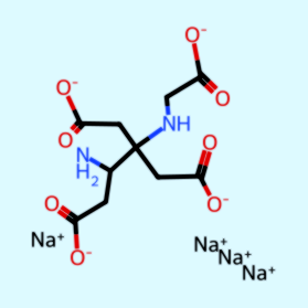 NC(CC(=O)[O-])C(CC(=O)[O-])(CC(=O)[O-])NCC(=O)[O-].[Na+].[Na+].[Na+].[Na+]